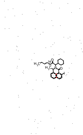 CCCCNC(=O)C(C1CCCCC1)N(C(=O)c1ccccc1I)C(C)c1ccccc1